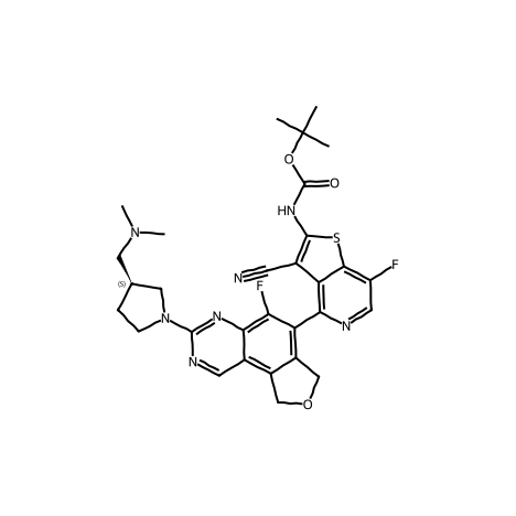 CN(C)C[C@@H]1CCN(c2ncc3c4c(c(-c5ncc(F)c6sc(NC(=O)OC(C)(C)C)c(C#N)c56)c(F)c3n2)COC4)C1